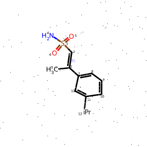 C/C(=C\S(N)(=O)=O)c1cccc(C(C)C)c1